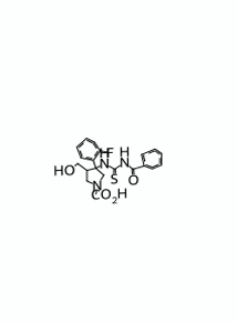 O=C(NC(=S)NC1(c2ccccc2F)CN(C(=O)O)CC1CO)c1ccccc1